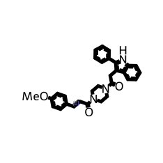 COc1ccc(/C=C/C(=O)N2CCN(C(=O)Cc3c(-c4ccccc4)[nH]c4ccccc34)CC2)cc1